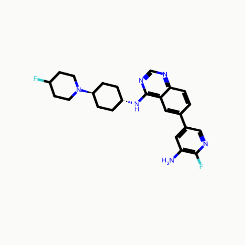 Nc1cc(-c2ccc3ncnc(N[C@H]4CC[C@H](N5CCC(F)CC5)CC4)c3c2)cnc1F